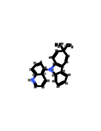 CC1(C)C=Cc2c(n(-c3cccc4ncccc34)c3ccccc23)C=C1